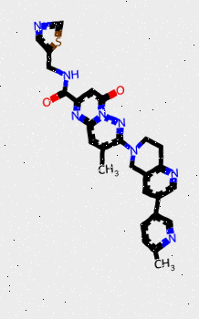 Cc1ccc(-c2cnc3c(c2)CN(c2nn4c(=O)cc(C(=O)NCc5cncs5)nc4cc2C)CC3)cn1